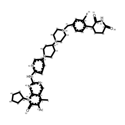 CC(=O)c1c(C)c2cnc(Nc3ccc(N4CCC(N5CCN(Cc6ccc(C7CCC(=O)NC7=O)c(F)c6)CC5)CC4)cn3)nc2n(C2CCCC2)c1=O